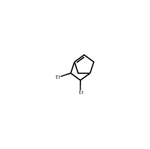 CCC1C2=CCC(C2)C1CC